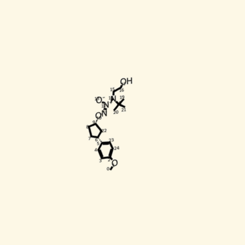 COc1ccc([C@@H]2CC[C@H](O/N=[N+](\[O-])N(CCO)C(C)(C)C)C2)cc1